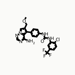 COCc1cn2ncnc(N)c2c1-c1ccc(NC(=O)Nc2cc(C(F)(F)F)ccc2Cl)cc1